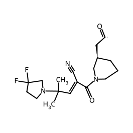 CC(C)(C=C(C#N)C(=O)N1CCC[C@H](C[C]=O)C1)N1CCC(F)(F)C1